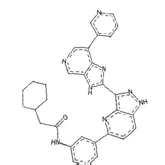 O=C(CC1CCCCC1)Nc1cncc(-c2ccc3[nH]nc(-c4nc5c(-c6cccnc6)cncc5[nH]4)c3n2)c1